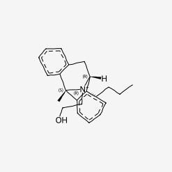 CCCC[N@@+]1(CCO)[C@@H]2Cc3ccccc3[C@@]1(C)c1ccccc12